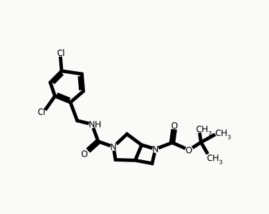 CC(C)(C)OC(=O)N1CC2CN(C(=O)NCc3ccc(Cl)cc3Cl)CC21